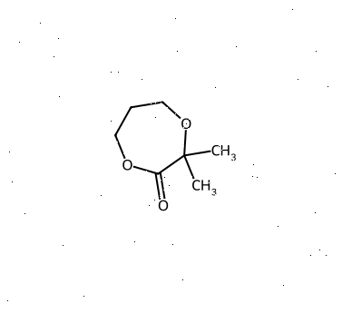 CC1(C)OCCCOC1=O